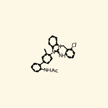 CC(=O)Nc1ccccc1-c1ccc(-n2c(=N)n(Cc3ccccc3Cl)c3ccccc32)c(C)c1